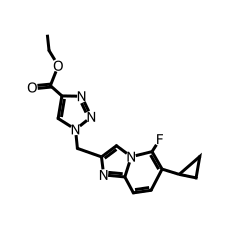 CCOC(=O)c1cn(Cc2cn3c(F)c(C4CC4)ccc3n2)nn1